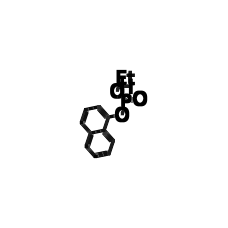 CCO[PH](=O)Oc1cccc2ccccc12